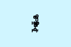 O=C1CCCCN1[C@H]1CC[C@@H](C(=O)Nc2ccc(-c3cc(F)cc(F)c3)cn2)CC1